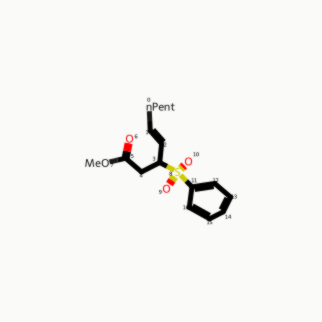 CCCCC/C=C/C(CC(=O)OC)S(=O)(=O)c1ccccc1